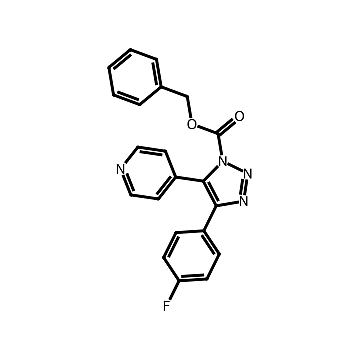 O=C(OCc1ccccc1)n1nnc(-c2ccc(F)cc2)c1-c1ccncc1